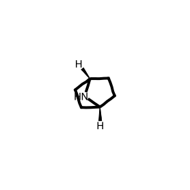 C1C[C@H]2CC[C@@H]1N2